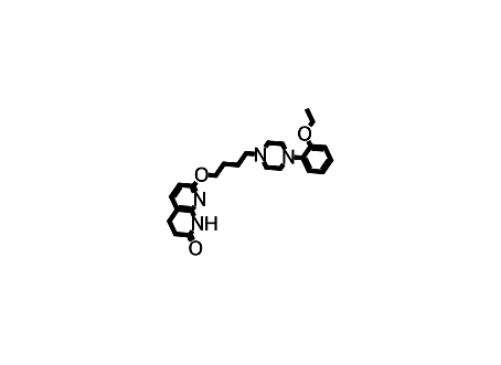 CCOc1ccccc1N1CCN(CCCCOc2ccc3c(n2)NC(=O)CC3)CC1